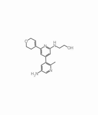 Cc1ncc(N)cc1-c1cc(NCCO)nc(C2=CCOCC2)c1